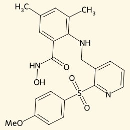 COc1ccc(S(=O)(=O)c2ncccc2CNc2c(C)cc(C)cc2C(=O)NO)cc1